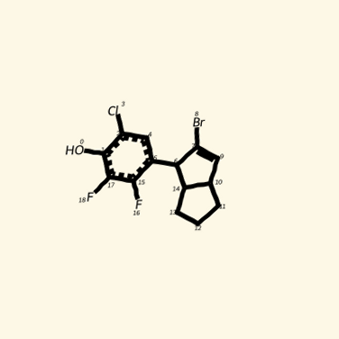 Oc1c(Cl)cc(C2C(Br)=CC3CCCC32)c(F)c1F